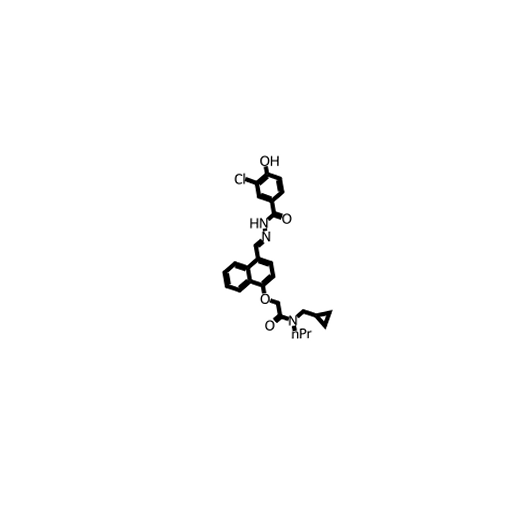 CCCN(CC1CC1)C(=O)COc1ccc(/C=N/NC(=O)c2ccc(O)c(Cl)c2)c2ccccc12